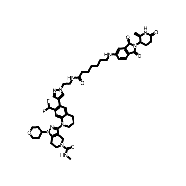 C=C1NC(=O)CCC1N1C(=O)c2ccc(NCCCCCCC(=O)NCCn3cc(-c4cc5c(cc4C(F)F)N(c4nn(C6CCOCC6)c6c4CN(C(=O)NC)CC6)CCC5)cn3)cc2C1=O